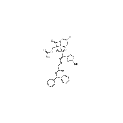 CC(C)(C)C(=O)OCC1(NC(=O)C(=NOCC(=O)OC(c2ccccc2)c2ccccc2)c2csc(N)n2)C(=O)N2C=C(Cl)CS[C@H]21